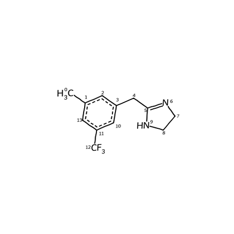 Cc1cc(CC2=NCCN2)cc(C(F)(F)F)c1